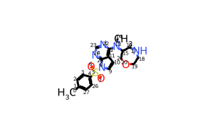 Cc1ccc(S(=O)(=O)n2ccc3c(N(C)C4CNCCOC4)ncnc32)cc1